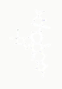 Cn1cc(Cn2c(=O)c3cc(S(=O)(=O)NC4(C)CC4)ccc3n(CC3CC(F)(F)C3)c2=O)cn1